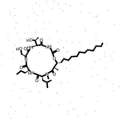 CCCCCCCCCCCC[C@H]1OC(=O)CNC(=O)[C@H]([C@H](C)O)NC(=O)[C@H](CO)NC(=O)[C@H](CCC)NC(=O)[C@H](CC(C)C)N(C)C(=O)[C@@H]1C